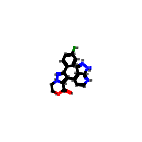 O=C1OCCn2nc(-c3ccc(F)cc3)c(-c3ccnc4[nH]ncc34)c21